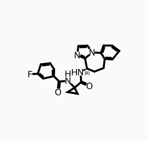 O=C(NC1(C(=O)N[C@@H]2CCc3ccccc3-n3ccnc32)CC1)c1cccc(F)c1